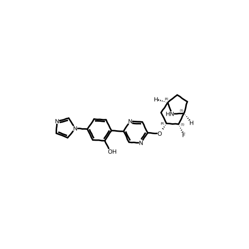 Oc1cc(-n2ccnc2)ccc1-c1cnc(O[C@@H]2C[C@H]3CC[C@H](N3)[C@@H]2F)cn1